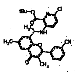 Cc1cc([C@@H](C)Nc2ccc(Cl)nc2C(=O)OC(C)(C)C)c2oc(-c3cccc(C#N)c3)c(C)c(=O)c2c1